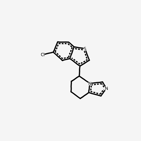 Clc1ccc2scc(C3CCCc4cncn43)c2c1